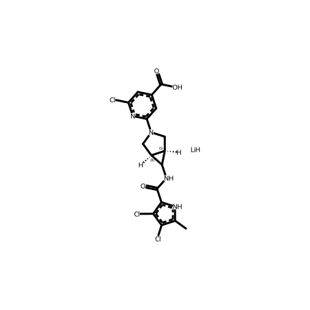 Cc1[nH]c(C(=O)NC2[C@H]3CN(c4cc(C(=O)O)cc(Cl)n4)C[C@@H]23)c(Cl)c1Cl.[LiH]